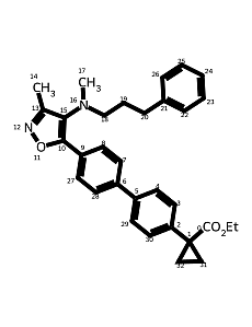 CCOC(=O)C1(c2ccc(-c3ccc(-c4onc(C)c4N(C)CCCc4ccccc4)cc3)cc2)CC1